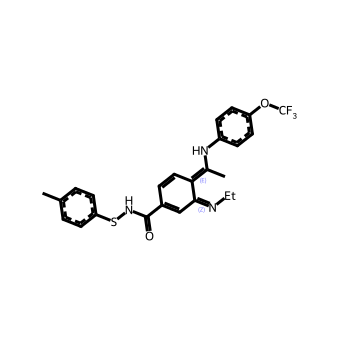 CC/N=C1/C=C(C(=O)NSc2ccc(C)cc2)C=C/C1=C(/C)Nc1ccc(OC(F)(F)F)cc1